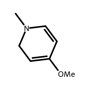 COC1=CCN(C)C=C1